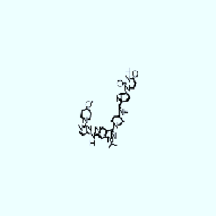 COC1CCN(c2nccc(Nc3cc4c(cn3)c(N3CCC(N(C)Cc5ccc(N6CCC(=O)NC6=O)cn5)CC3)nn4C(C)C)n2)CC1